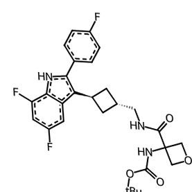 CC(C)(C)OC(=O)NC1(C(=O)NC[C@H]2C[C@H](c3c(-c4ccc(F)cc4)[nH]c4c(F)cc(F)cc43)C2)COC1